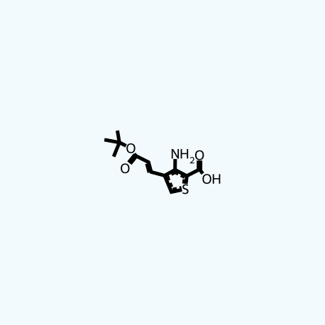 CC(C)(C)OC(=O)C=Cc1csc(C(=O)O)c1N